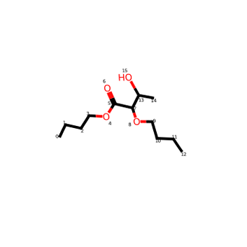 CCCCOC(=O)C(OCCCC)C(C)O